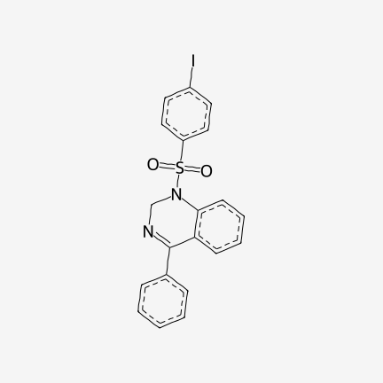 O=S(=O)(c1ccc(I)cc1)N1CN=C(c2ccccc2)c2ccccc21